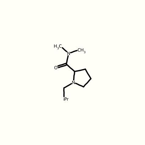 CC(C)CN1CCCC1C(=O)N(C)C